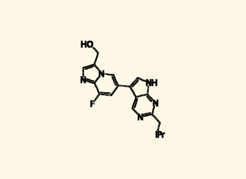 CC(C)Cc1ncc2c(-c3cc(F)c4ncc(CO)n4c3)c[nH]c2n1